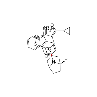 O=C(O)c1nsc2cc(N3C4CC[C@H]3CC(OCc3c(-c5ccccc5OC(F)(F)F)noc3C3CC3)C4)ccc12